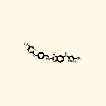 CCn1c(NCc2ccc(Oc3ncc(C(F)(F)F)cn3)cc2)nc2ccc(Nc3cc(C(C)(C)C)[nH]n3)cc21